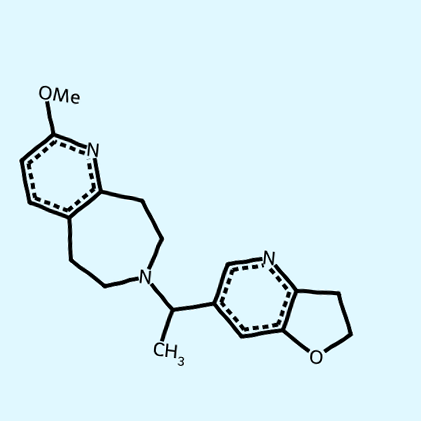 COc1ccc2c(n1)CCN(C(C)c1cnc3c(c1)OCC3)CC2